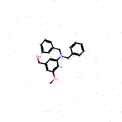 COc1cc(CO)cc(N(Cc2ccccc2)Cc2ccccc2)c1